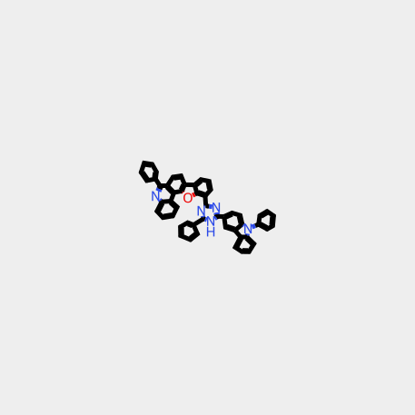 c1ccc(-c2nc3ccccc3c3c2ccc2c4cccc(C5=NC(c6ccccc6)NC(c6ccc7c(c6)c6ccccc6n7-c6ccccc6)=N5)c4oc23)cc1